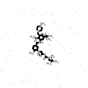 COc1c(CN2CCN(C)CC2)cc(C(C)(C)C)cc1NC(=O)c1ccc(C)c(-n2cc(OC(=O)NCC(C)(C)C)nn2)c1